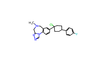 CN1Cc2cc(C3(Cl)CCC(c4ccc(F)cc4)CC3)ccc2-n2cnnc2C1